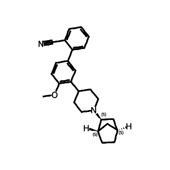 COc1ccc(-c2ccccc2C#N)cc1C1CCN([C@H]2C[C@H]3CC[C@H]2C3)CC1